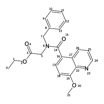 CCOC(=O)CN(Cc1ccccc1)C(=O)c1ccc(OC)c2ncccc12